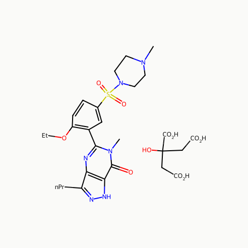 CCCc1n[nH]c2c(=O)n(C)c(-c3cc(S(=O)(=O)N4CCN(C)CC4)ccc3OCC)nc12.O=C(O)CC(O)(CC(=O)O)C(=O)O